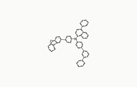 c1ccc(-c2cccc(-c3ccc(N(c4ccc(-c5ccc6oc7ccccc7c6c5)cc4)c4ccc(-c5ccccc5)c5ccccc45)cc3)c2)cc1